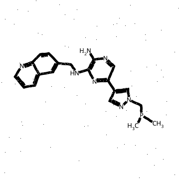 CP(C)Cn1cc(-c2cnc(N)c(NCc3ccc4ncccc4c3)n2)cn1